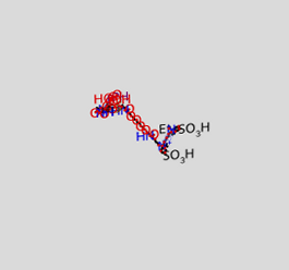 CCN1/C(=C/C=C/C=C/C2=[N+](CCCCCC(=O)NCCOCCOCCOCCOCCC(=O)NCC(C)(C)SSCO[C@@H]3C[C@H](n4cc(C)c(=O)[nH]c4=O)O[C@@H]3COP(=O)(O)O[PH](=O)O)c3ccc(S(=O)(=O)O)cc3C2(C)C)C(C)(C)c2cc(S(=O)(=O)O)ccc21